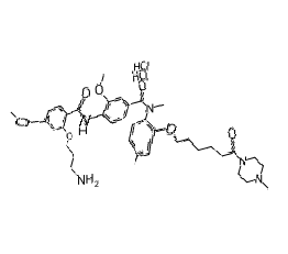 COc1ccc(C(=O)Nc2ccc(C(=O)N(C)c3ccc(C)cc3OCCCCCC(=O)N3CCN(C)CC3)cc2OC)c(OCCCN)c1.Cl.Cl